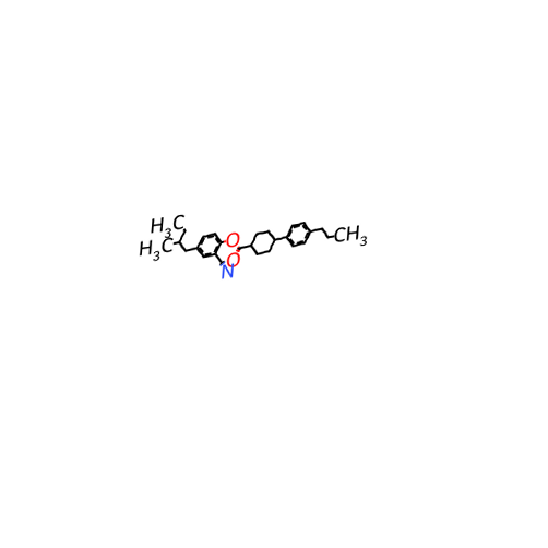 CCCc1ccc(C2CCC(C(=O)Oc3ccc(CC(C)CC)cc3C#N)CC2)cc1